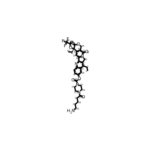 CCc1c2c(nc3ccc(OC(=O)N4CCN(C(=O)CCCCN)CC4)cc13)-c1cc3c(c(=O)n1C2)COC(=O)[C@@]3(CC)OC(=O)C(F)(F)F